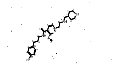 C=N/C(C)=C(/C=C\N(C)CCNCC1CCNCC1)C(=C)NCCCc1ccc(F)cc1